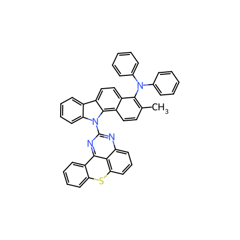 Cc1ccc2c(ccc3c4ccccc4n(-c4nc5c6c(cccc6n4)Sc4ccccc4-5)c23)c1N(c1ccccc1)c1ccccc1